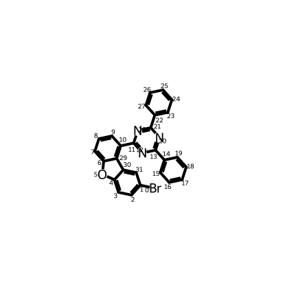 Brc1ccc2oc3cccc(-c4nc(-c5ccccc5)nc(-c5ccccc5)n4)c3c2c1